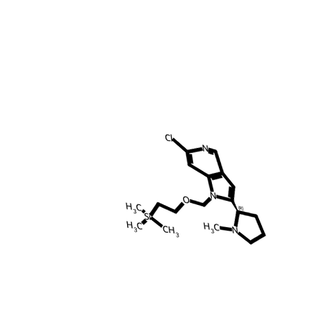 CN1CCC[C@@H]1c1cc2cnc(Cl)cc2n1COCC[Si](C)(C)C